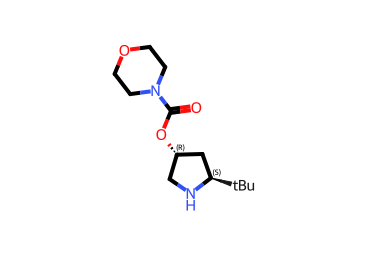 CC(C)(C)[C@@H]1C[C@@H](OC(=O)N2CCOCC2)CN1